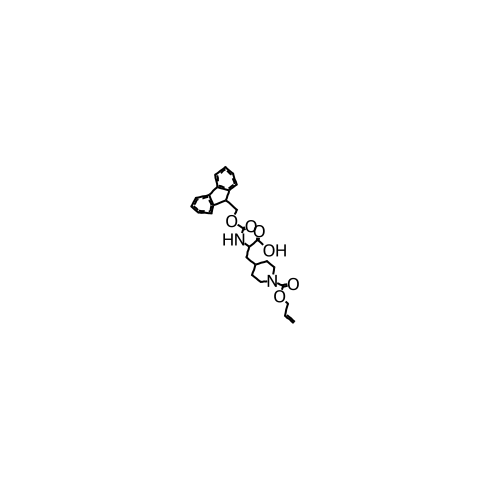 C=CCOC(=O)N1CCC(CC(NC(=O)OCC2c3ccccc3-c3ccccc32)C(=O)O)CC1